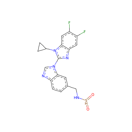 O=[SH](=O)NCc1ccc2ncn(-c3nc4cc(F)c(F)cc4n3C3CC3)c2c1